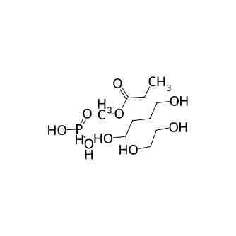 CCC(=O)OC.O=[PH](O)O.OCCCCO.OCCO